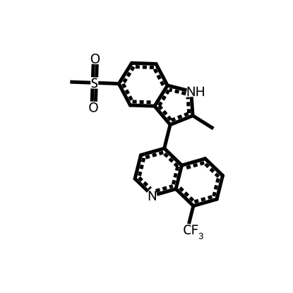 Cc1[nH]c2ccc(S(C)(=O)=O)cc2c1-c1ccnc2c(C(F)(F)F)cccc12